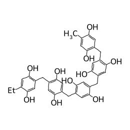 CCc1cc(O)c(Cc2cc(O)c(Cc3cc(O)c(Cc4cc(O)c(Cc5cc(O)c(C)cc5O)cc4O)cc3O)cc2O)cc1O